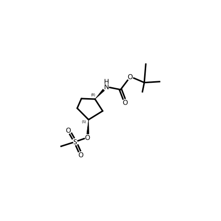 CC(C)(C)OC(=O)N[C@@H]1CC[C@H](OS(C)(=O)=O)C1